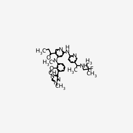 CCC(=O)c1cnc(Nc2ccc(C(C)NCC(C)(C)F)cn2)cc1N(C)c1cccc(-c2ncn(C)n2)c1OC